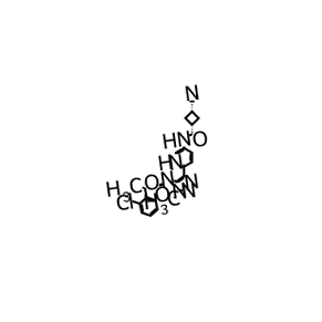 C[C@@H](OC(=O)Nc1c(-c2ccc(NC(=O)[C@H]3C[C@@H](C#N)C3)cn2)nnn1C)c1ccccc1Cl